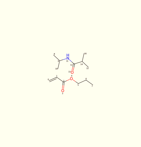 C=CC(=O)OCCC.CC(C)NC(=O)C(C)C